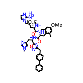 COc1cc(C)c(CC(NC(=O)C(CCCn2ccnc2N)NC(=O)O)C(=O)NC(Cc2cn(C)cn2)c2nc(Cc3ccc(-c4ccccc4)cc3)no2)c(C)c1